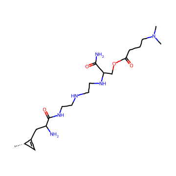 C[C@H]1C=C1CC(N)C(=O)NCCNCCNC(COC(=O)CCCN(C)C)C(N)=O